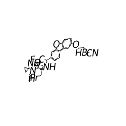 CC(C)CC(NC(c1ccc2c(c1)oc1ccc(OCCBC#N)cc12)C(F)(F)F)C(=O)NC1(N)CC1